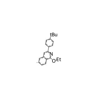 CCOc1nc(-c2ccc(C(C)(C)C)cc2)cc2c[c]ccc12